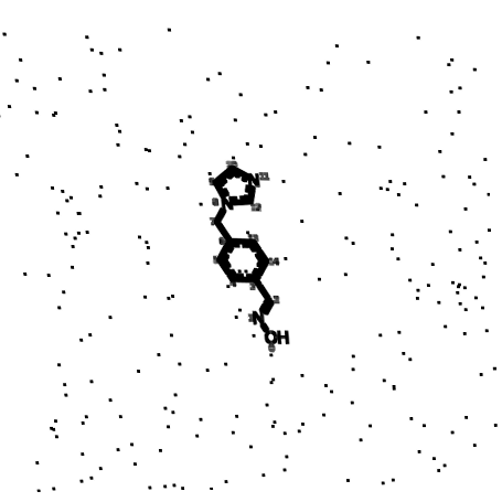 ON=Cc1ccc(Cn2ccnc2)cc1